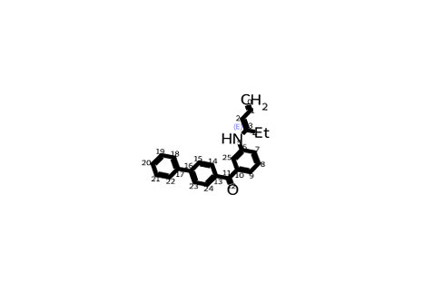 C=C/C=C(\CC)Nc1cccc(C(=O)c2ccc(-c3ccccc3)cc2)c1